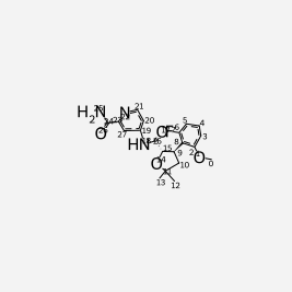 COc1cccc(F)c1[C@H]1CC(C)(C)O[C@@H]1C(=O)Nc1ccnc(C(N)=O)c1